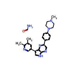 Cc1cc(-c2c[nH]c3ncc(-c4ccc(N5CCN(C)CC5)cc4)nc23)cnc1C.NC=O